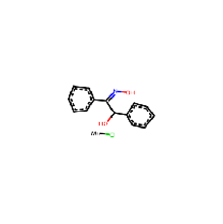 ON=C(c1ccccc1)C(O)c1ccccc1.[Cl][Mn]